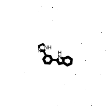 c1cc(C2=NCCN2)cc(-c2cc3ccccc3[nH]2)c1